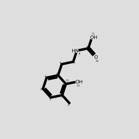 Cc1cccc(CCNC(=O)O)c1O